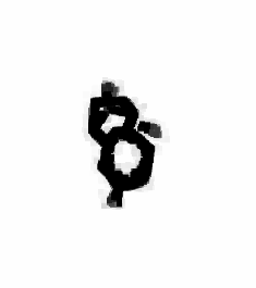 CC(C)N1C2CCC1c1cc(Cl)ccc12.Cl